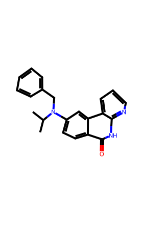 CC(C)N(Cc1ccccc1)c1ccc2c(=O)[nH]c3ncccc3c2c1